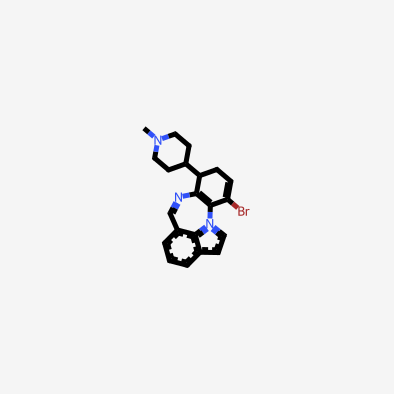 CN1CCC(C2CC=C(Br)C3=C2N=Cc2cccc4ccn3c24)CC1